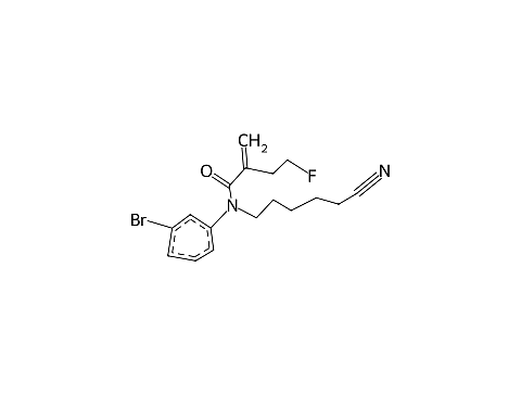 C=C(CCF)C(=O)N(CCCCCC#N)c1cccc(Br)c1